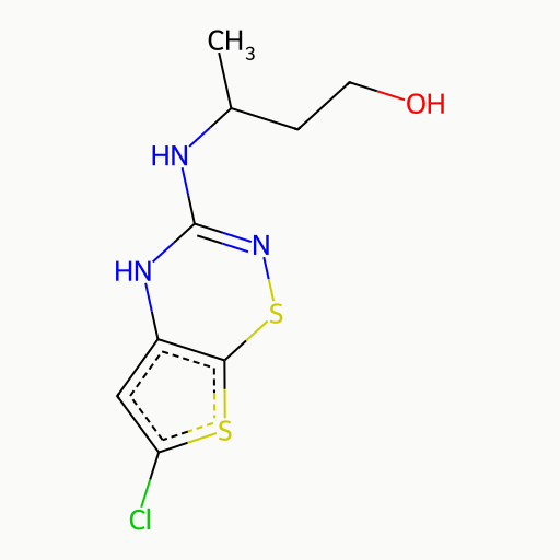 CC(CCO)NC1=NSc2sc(Cl)cc2N1